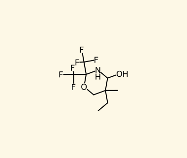 CCC1(C)COC(C(F)(F)F)(C(F)(F)F)NC1O